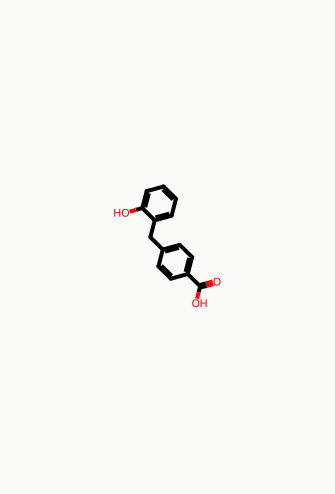 O=C(O)c1ccc(Cc2ccccc2O)cc1